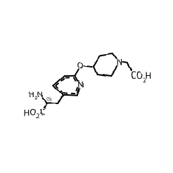 N[C@@H](Cc1ccc(OC2CCN(CC(=O)O)CC2)nc1)C(=O)O